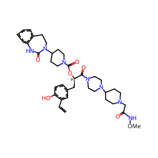 C=Cc1cc(C[C@@H](OC(=O)N2CCC(N3CCc4ccccc4NC3=O)CC2)C(=O)N2CCN(C3CCN(CC(=O)NOC)CC3)CC2)ccc1O